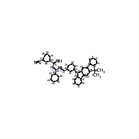 CC1(C)c2ccccc2-c2cc3c(cc21)c1ccccc1n3-c1cccc(/C=N/C(=C\C(=N)c2cccc(C#N)c2)c2ccccc2)c1